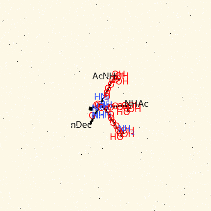 CCCCCCCCCCCCCCCC(=O)NCCCCC(NC(=O)C(CCCCNC(=O)COCCOCCOCCO[C@@H]1O[C@H](CO)[C@H](O)[C@H](O)[C@H]1NC(C)=O)NC(=O)C(CCCCNC(=O)COCCOCCOCCO[C@@H]1O[C@H](CO)[C@H](O)[C@H](O)[C@H]1N)NC(=O)COCCOCCOCCO[C@@H]1O[C@H](CO)[C@H](O)[C@H](O)[C@H]1NC(C)=O)C(=O)NCC1CCC1